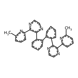 Cc1cccc(-c2nccnc2-c2ccccc2-c2ccccc2-c2nccnc2-c2cccc(C)n2)n1